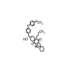 CCCCN1C(=O)[C@@H](CC2(O)CCCCC2)NC(=O)C12CCN(Cc1ccc(Oc3ccc(SC)cc3)cc1)CC2.Cl